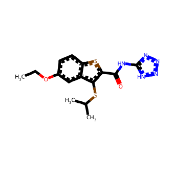 CCOc1ccc2sc(C(=O)Nc3nnn[nH]3)c(SC(C)C)c2c1